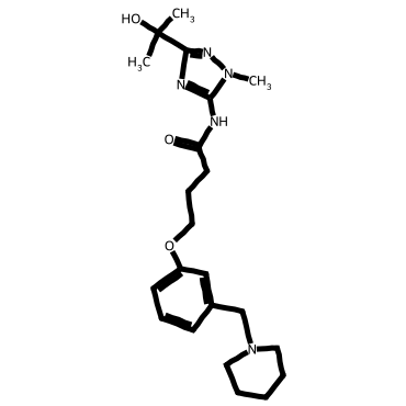 Cn1nc(C(C)(C)O)nc1NC(=O)CCCOc1cccc(CN2CCCCC2)c1